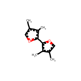 Cc1coc(-c2occ(C)c2C)c1C